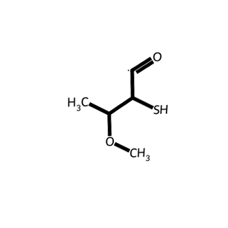 COC(C)C(S)[C]=O